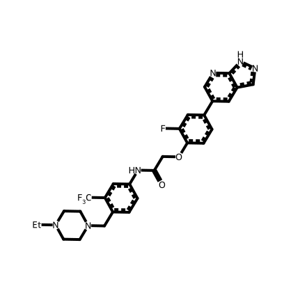 CCN1CCN(Cc2ccc(NC(=O)COc3ccc(-c4cnc5[nH]ncc5c4)cc3F)cc2C(F)(F)F)CC1